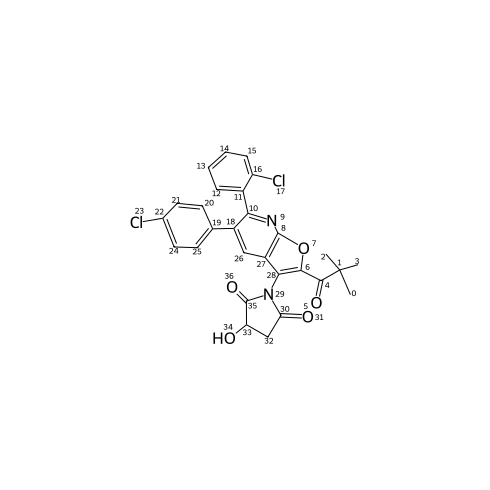 CC(C)(C)C(=O)c1oc2nc(-c3ccccc3Cl)c(-c3ccc(Cl)cc3)cc2c1N1C(=O)CC(O)C1=O